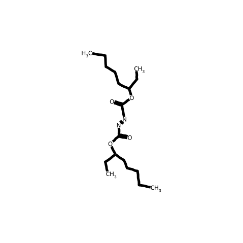 CCCCCC(CC)OC(=O)/N=N/C(=O)OC(CC)CCCCC